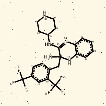 NC1(Cc2ccc(C(F)(F)F)cc2C(F)(F)F)Nc2ccccc2N=C1NC1CCNCC1